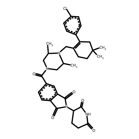 CC1CN(C(=O)c2ccc3c(c2)C(=O)N(C2CCC(=O)NC2=O)C3=O)CC(C)N1CC1=C(c2ccc(Cl)cc2)CC(C)(C)CC1